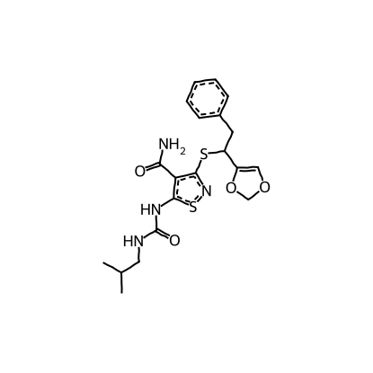 CC(C)CNC(=O)Nc1snc(SC(Cc2ccccc2)C2=COCO2)c1C(N)=O